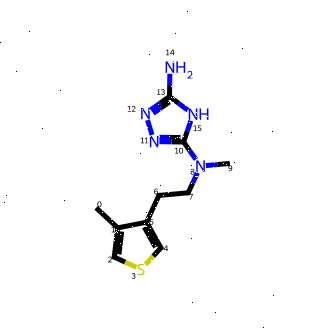 Cc1cscc1CCN(C)c1nnc(N)[nH]1